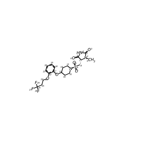 CN1C(=O)NC(=O)[C@H]1CS(=O)(=O)N1CCC(Oc2ccccc2OCCC(F)(F)F)CC1